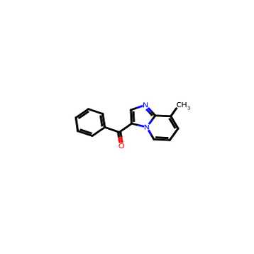 Cc1cccn2c(C(=O)c3ccccc3)cnc12